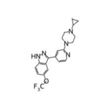 FC(F)(F)Oc1ccc2[nH]nc(-c3ccnc(N4CCN(C5CC5)CC4)c3)c2c1